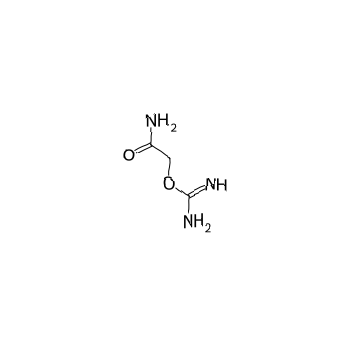 N=C(N)OCC(N)=O